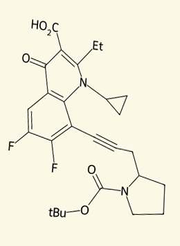 CCc1c(C(=O)O)c(=O)c2cc(F)c(F)c(C#CCC3CCCN3C(=O)OC(C)(C)C)c2n1C1CC1